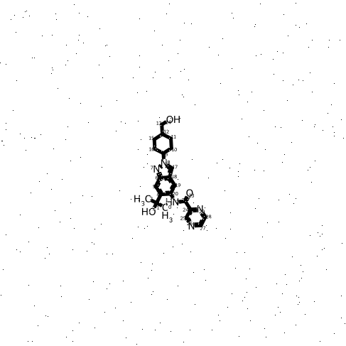 CC(C)(O)c1cc2nn(C3CCC(CO)CC3)cc2cc1NC(=O)c1cnccn1